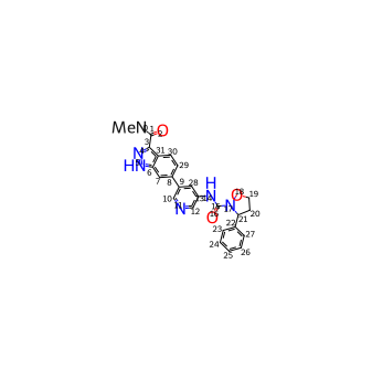 CNC(=O)c1n[nH]c2cc(-c3cncc(NC(=O)N4OCCC4c4ccccc4)c3)ccc12